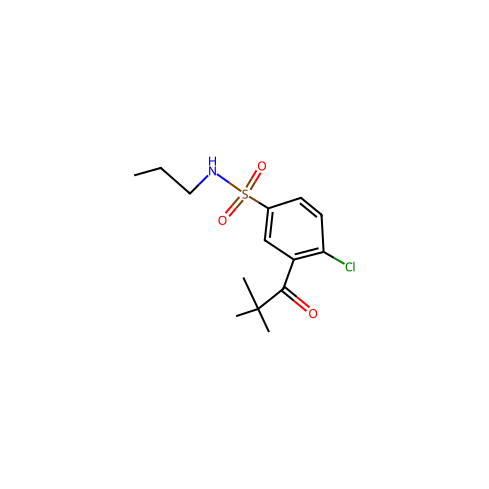 CCCNS(=O)(=O)c1ccc(Cl)c(C(=O)C(C)(C)C)c1